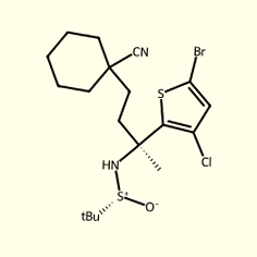 CC(C)(C)[S@@+]([O-])N[C@@](C)(CCC1(C#N)CCCCC1)c1sc(Br)cc1Cl